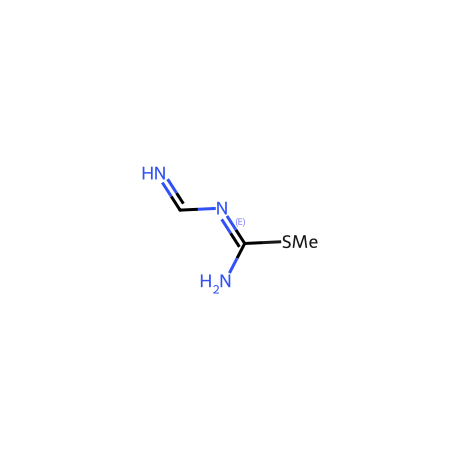 CS/C(N)=N/C=N